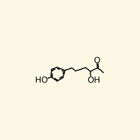 CC(=O)C(O)CCCc1ccc(O)cc1